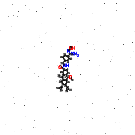 CO[C@@H]1c2ccc(C(=O)NCc3ccc(C(N)=NO)cc3)cc2[C@H](C)c2cc(C3CC3)c(C3CC3)cc21